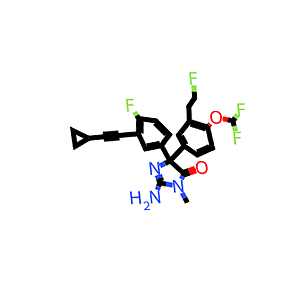 CN1C(=O)C(c2ccc(F)c(C#CC3CC3)c2)(c2ccc(OC(F)F)c(CCF)c2)N=C1N